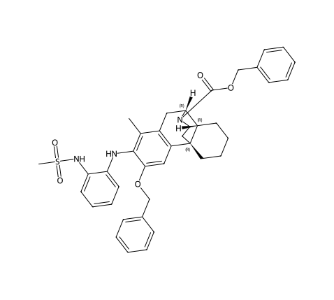 Cc1c2c(cc(OCc3ccccc3)c1Nc1ccccc1NS(C)(=O)=O)[C@@]13CCCC[C@H]1[C@@H](C2)N(C(=O)OCc1ccccc1)CC3